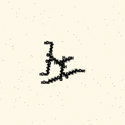 CCCCCCCCCCCCCCCCOC(=O)CCN(CCCNc1nc(NCCCO)nc(NCCCN(CCC(=O)OCCCCCCCCCCCCCCCC)CCC(=O)OCCCCCCCCCCCCCCCC)n1)CCC(=O)OCCCCCCCCCCCCCCCC